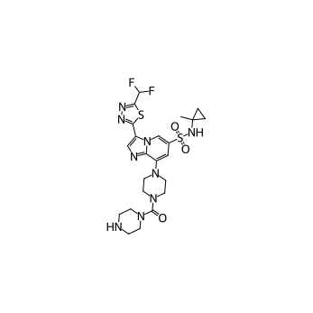 CC1(NS(=O)(=O)c2cc(N3CCN(C(=O)N4CCNCC4)CC3)c3ncc(-c4nnc(C(F)F)s4)n3c2)CC1